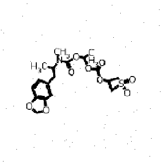 CC(OC(=O)OC1CS(=O)(=O)C1)OC(=O)N(C)C(C)Cc1ccc2c(c1)OCO2